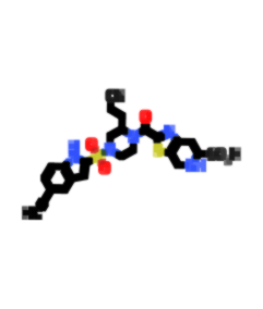 C#Cc1ccc2[nH]c(S(=O)(=O)N3CCN(C(=O)c4nc5c(s4)CNC(S(=O)(=O)O)C5)C(CCC#N)C3)cc2c1